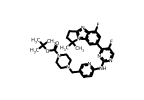 CC(C)(C)OC(=O)N1CCN(Cc2ccc(Nc3ncc(F)c(-c4cc(F)c5nc6n(c5c4)C(C)(C)CC6)n3)nc2)CC1